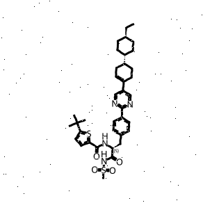 CC[C@H]1CC[C@H](C2CC=C(c3cnc(-c4ccc(C[C@H](NC(=O)c5ccc(C(C)(C)C)s5)C(=O)NS(C)(=O)=O)cc4)nc3)CC2)CC1